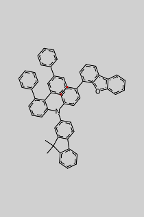 CC1(C)c2ccccc2-c2ccc(N(c3ccc(-c4cccc5c4oc4ccccc45)cc3)c3cccc(-c4ccccc4)c3-c3cccc(-c4ccccc4)c3)cc21